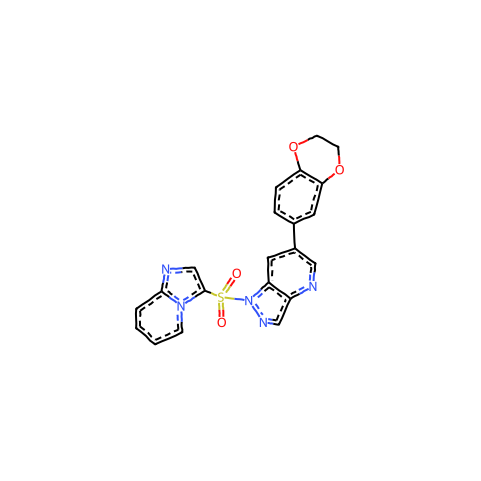 O=S(=O)(c1cnc2ccccn12)n1ncc2ncc(-c3ccc4c(c3)OCCO4)cc21